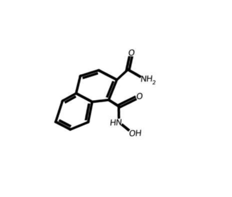 NC(=O)c1ccc2ccccc2c1C(=O)NO